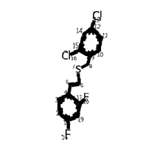 Fc1ccc(C=CSCc2ccc(Cl)cc2Cl)c(F)c1